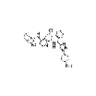 CC(C)(C)N1CCC(n2cc([C@@H](Nc3cc(Cl)cc4c(NC5C6CC7CC(C6)CC5C7)c(C#N)cnc34)c3ccccc3)nn2)CC1